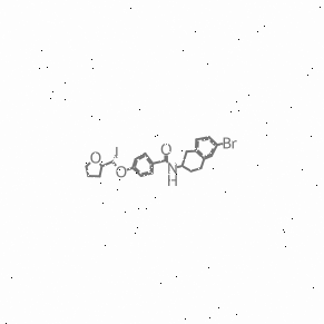 O=C(NC1CCc2cc(Br)ccc2C1)c1ccc(O[C@@H](I)C2CCCO2)cc1